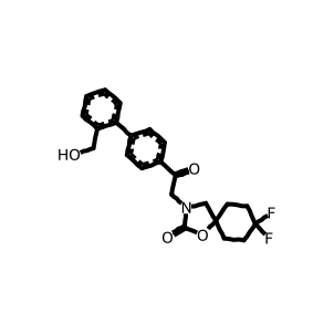 O=C(CN1CC2(CCC(F)(F)CC2)OC1=O)c1ccc(-c2ccccc2CO)cc1